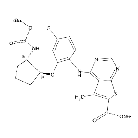 COC(=O)c1sc2ncnc(Nc3ccc(F)cc3O[C@H]3CCC[C@@H]3NC(=O)OC(C)(C)C)c2c1C